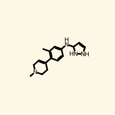 Cc1cc(NC2C=CNN2)ccc1C1=CCN(C)CC1